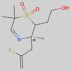 C=C(F)C[C@@]1(C)N=CC(C)(C)S(=O)(=O)C1CCO